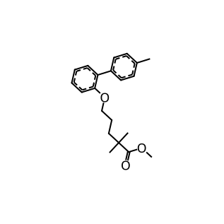 COC(=O)C(C)(C)CCCOc1ccccc1-c1ccc(C)cc1